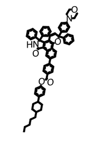 CCCCCC1CCC(c2ccc(OC(=O)c3ccc(-c4ccc5c6c(c7c(c5c4)C(=O)NC7(c4ccccc4)c4ccccc4)C=CC(c4ccccc4)(c4ccc(N5CCOCC5)cc4)O6)cc3)cc2)CC1